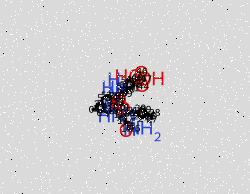 Cc1cc2c3c(c1)C[C@@H](C(=O)N[C@@H](CCC(N)=O)C(=O)NCc1ccc(C(C)C)cc1)N3C(=O)[C@@H](NC(=O)c1cc3cc(C(=O)P(=O)(O)O)ccc3[nH]1)CC2